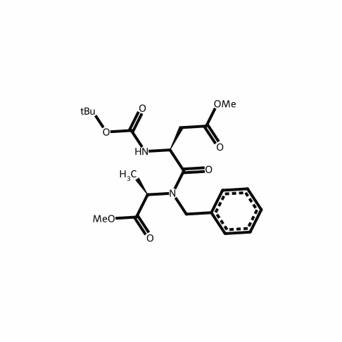 COC(=O)C[C@H](NC(=O)OC(C)(C)C)C(=O)N(Cc1ccccc1)[C@H](C)C(=O)OC